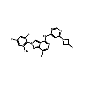 N#Cc1cc(F)cc(Cl)c1-n1cc2c(Nc3cc(N4CC(F)C4)ncn3)ncc(F)c2n1